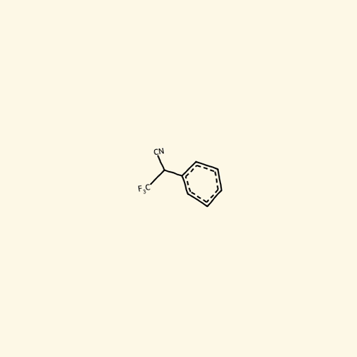 N#CC(c1ccccc1)C(F)(F)F